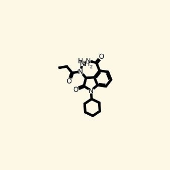 CCC(=O)N(N)C1C(=O)N(C2CCCCC2)c2cccc(C(N)=O)c21